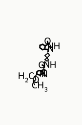 C=C(OCC)c1ccc2c(C(=O)N[C@H]3CC4(C3)C[C@H](c3n[nH]c(=O)c5ccccc53)C4)cnn2c1